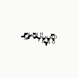 Cc1cnc(-n2cnc([C@H](C)Nc3nc(C)nc(N4CCOC4=O)n3)c2)cn1